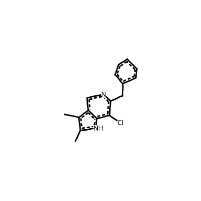 Cc1[nH]c2c(Cl)c(Cc3ccccc3)ncc2c1C